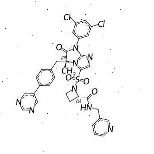 C[C@@]1(Cc2ccc(-c3cncnc3)cc2)C(=O)N(c2cc(Cl)cc(Cl)c2)c2ncc(S(=O)(=O)N3CC[C@H]3C(=O)NCc3cccnc3)n21